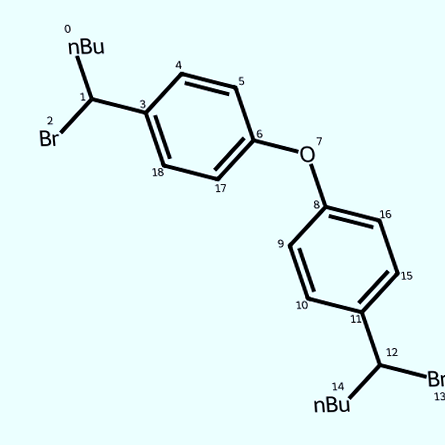 CCCCC(Br)c1ccc(Oc2ccc(C(Br)CCCC)cc2)cc1